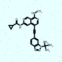 BC(B)(B)n1nnc2ccc(C#Cc3cnc(NC)c4cnc(NC(=O)C5CC5)cc34)cc21